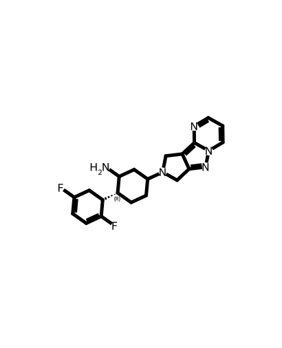 NC1CC(N2Cc3nn4cccnc4c3C2)CC[C@@H]1C1CC(F)=CC=C1F